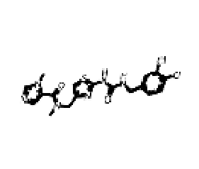 CN(Cc1csc(NC(=O)NCc2ccc(Cl)c(Cl)c2)n1)C(=O)c1cncn1C